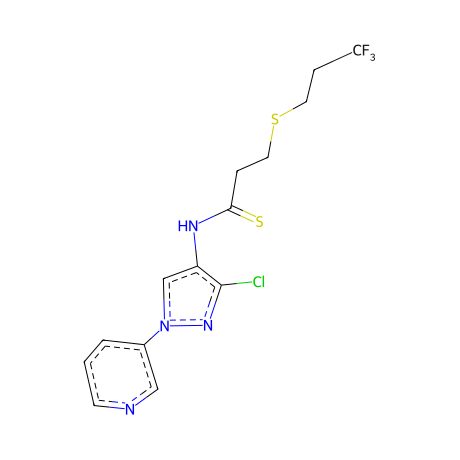 FC(F)(F)CCSCCC(=S)Nc1cn(-c2cccnc2)nc1Cl